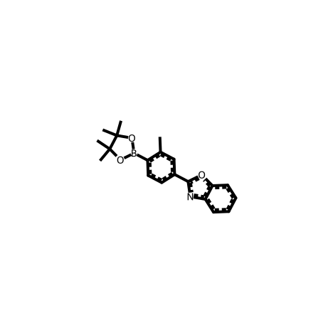 Cc1cc(-c2nc3ccccc3o2)ccc1B1OC(C)(C)C(C)(C)O1